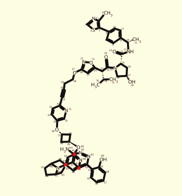 Cc1ncsc1-c1ccc([C@H](C)NC(=O)[C@@H]2C[C@@H](O)CN2C(=O)[C@@H](c2cc(OCCC#Cc3ccc(O[C@H]4C[C@H](Oc5cc(N6C7CCC6CN(c6cc(-c8ccccc8O)nnc6N)C7)ccn5)C4)cn3)no2)C(C)C)cc1